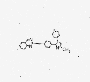 Cn1cc(-c2ccncc2)c(-c2ccc(C#Cc3ncc4ccccc4n3)cc2)n1